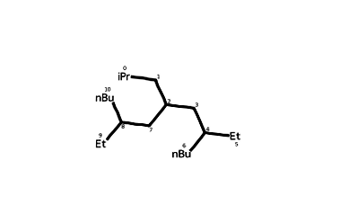 [CH2]C(C)CC(CC(CC)CCCC)CC(CC)CCCC